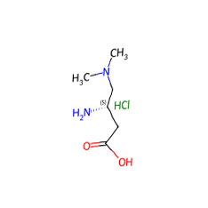 CN(C)C[C@@H](N)CC(=O)O.Cl